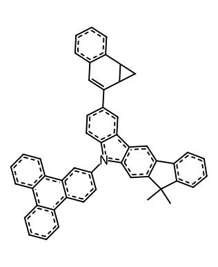 CC1(C)c2ccccc2-c2cc3c4cc(C5=Cc6ccccc6C6CC56)ccc4n(-c4ccc5c6ccccc6c6ccccc6c5c4)c3cc21